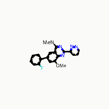 CNc1nc(-c2cccnn2)nc2c(OC)cc(-c3ccccc3F)cc12